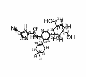 [2H]C1C([2H])C2(CO)OC1(CO)CC([2H])(c1ccc(NC(=O)c3ncc(C#N)[nH]3)c(C3=CCC(C)(C)CC3)c1)C2[2H]